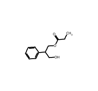 C[CH]C(=O)OCC(CO)c1ccccc1